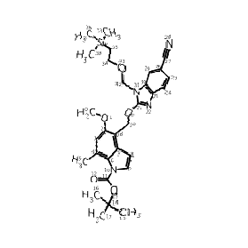 COc1cc(C)c2c(ccn2C(=O)OC(C)(C)C)c1COc1nc2ccc(C#N)cc2n1COCC[Si](C)(C)C